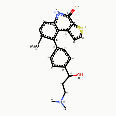 COc1ccc2[nH]c(=O)c3sccc3c2c1-c1ccc(C(O)CCN(C)C)cc1